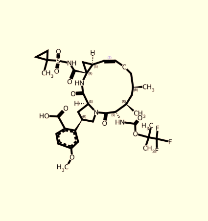 COc1ccc(C(=O)O)c([C@H]2C[C@H]3C(=O)N[C@]4(C(=O)NS(=O)(=O)C5(C)CC5)C[C@H]4/C=C\CC[C@@H](C)C[C@@H](C)[C@H](NC(=O)OC(C)(C)C(F)(F)F)C(=O)N3C2)c1